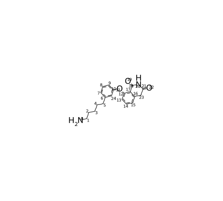 NCCCCCc1cccc(Oc2cccc3c2C(=O)NC(=O)C3)c1